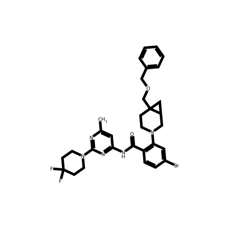 Cc1cc(NC(=O)c2ccc(Br)cc2N2CCC3(COCc4ccccc4)CC3C2)nc(N2CCC(F)(F)CC2)n1